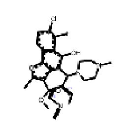 C=N/C=C\C(=C/C)C(c1c(O)c2c(F)c(Cl)ccc2c2oc(C)c(C(=O)OC)c12)N1CCN(C)CC1